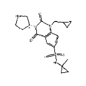 CC1(NS(=O)(=O)c2ccc3c(c2)c(=O)n([C@@H]2CCNC2)c(=O)n3CC2CC2)CC1